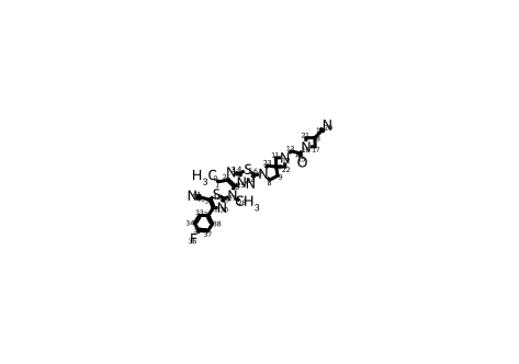 CCc1nc2sc(N3CCC4(CN(CC(=O)N5CC(C#N)C5)C4)C3)nn2c1N(C)c1nc(-c2ccc(F)cc2)c(C#N)s1